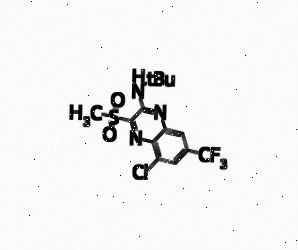 CC(C)(C)Nc1nc2cc(C(F)(F)F)cc(Cl)c2nc1S(C)(=O)=O